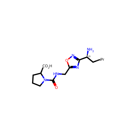 CC(C)C[C@H](N)c1noc(CNC(=O)N2CCCC2C(=O)O)n1